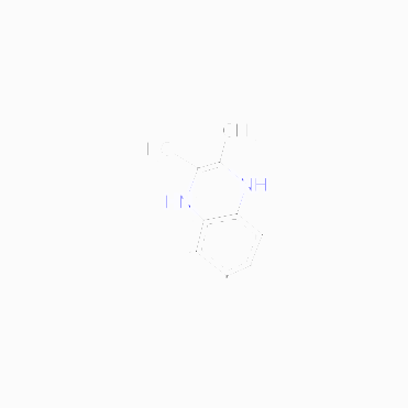 CC1=C(C)Nc2ccccc2N1